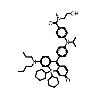 CCCCN(CCC)c1ccc2c(c1)[Si](C1CCCCC1)(C1CCCCC1)C1=CC(=O)C=CC1=C2c1ccc(N(c2ccc(C(=O)N(C)CCO)cc2)C(C)C)cc1